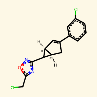 ClCc1nc(C2[C@H]3C=C(c4cccc(Cl)c4)C[C@@H]23)no1